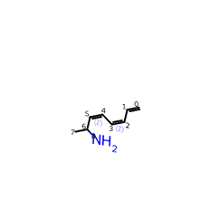 C=C/C=C\C=C/C(C)N